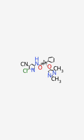 [C-]#[N+]c1cc(NC(=O)[C@@H]2C[C@@]2(COc2cnc(C)nc2C)c2ccccc2)cnc1Cl